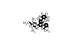 C=CC(=O)N1[C@H](C)CN(C2=C(C#N)C3OC(C)c4nccc(C)c4N3c3nc(-c4c(O)c(Cl)c(Cl)c(F)c4F)c(Cl)cc32)C[C@@H]1C